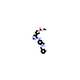 CCOC(=O)N1Cc2sc3ncnc(Nc4ccc5c(cnn5Cc5cccc(F)c5)c4)c3c2C1